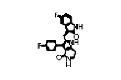 O=C1Nc2ccc(F)cc2C1=Cc1[nH]c2c(c1-c1ccc(F)cc1)C(=O)NCC2